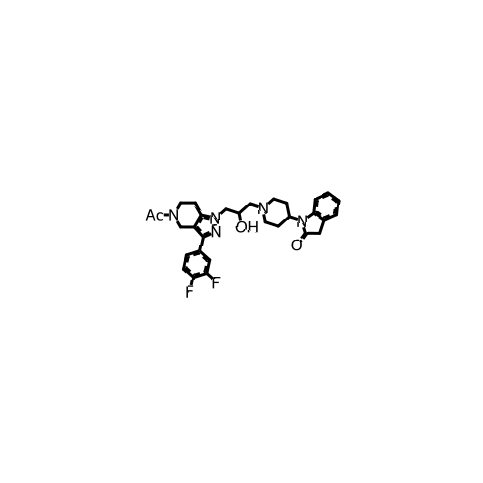 CC(=O)N1CCc2c(c(-c3ccc(F)c(F)c3)nn2CC(O)CN2CCC(N3C(=O)Cc4ccccc43)CC2)C1